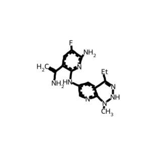 C=C(N)c1cc(F)c(N)nc1Nc1cnc2c(c1)C(CC)=NNN2C